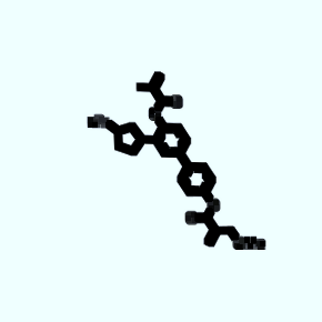 C=C(C)C(=O)Oc1ccc(-c2ccc(OC(=O)C(=C)COC)cc2)cc1C1CCC(CCC)C1